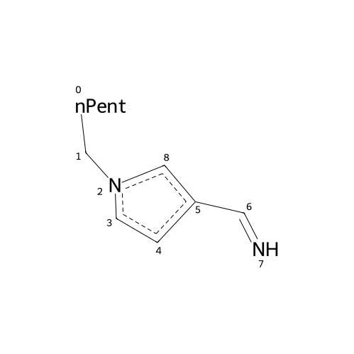 CCCCCCn1ccc(C=N)c1